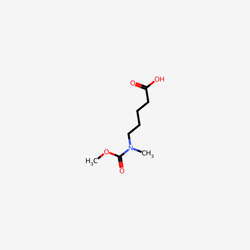 COC(=O)N(C)CCCCC(=O)O